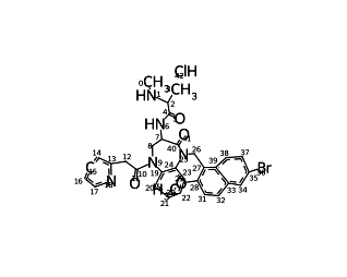 CNC(C)C(=O)NC1CN(C(=O)Cc2ccccn2)c2ccccc2N(Cc2c(OC)ccc3cc(Br)ccc23)C1=O.Cl